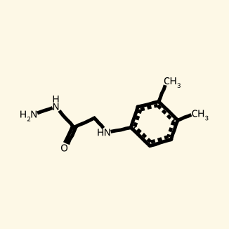 Cc1ccc(NCC(=O)NN)cc1C